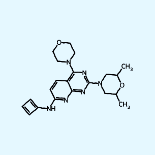 CC1CN(c2nc(N3CCOCC3)c3ccc(NC4=CC=C4)nc3n2)CC(C)O1